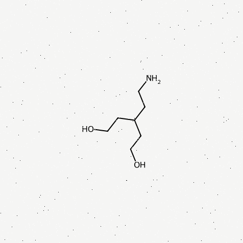 NCC[C](CCO)CCO